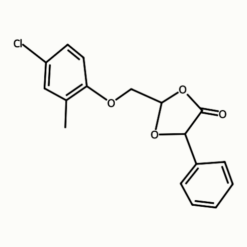 Cc1cc(Cl)ccc1OCC1OC(=O)C(c2ccccc2)O1